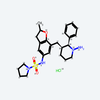 CC1Cc2cc(NS(=O)(=O)N3CCCC3)cc(C[C@@H]3CCCN(N)[C@@H]3c3ccccc3)c2O1.Cl